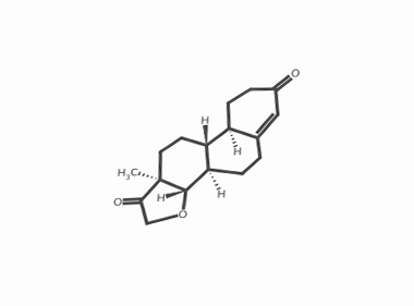 C[C@]12CC[C@H]3[C@@H](CCC4=CC(=O)CC[C@@H]43)[C@@H]1OCC2=O